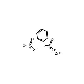 O=[PH]([O-])[O-].O=[PH]([O-])[O-].[Zr+4].c1ccccc1